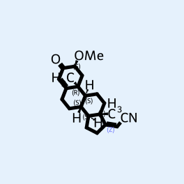 CO[C@H]1C[C@@]2(C)C(=CC1=O)CC[C@@H]1[C@@H]2CC[C@]2(C)/C(=C\C#N)CC[C@@H]12